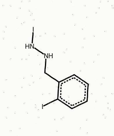 INNCc1ccccc1I